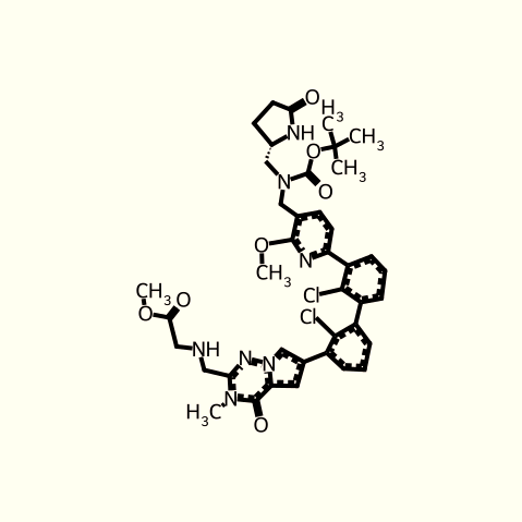 COC(=O)CNCc1nn2cc(-c3cccc(-c4cccc(-c5ccc(CN(C[C@@H]6CCC(=O)N6)C(=O)OC(C)(C)C)c(OC)n5)c4Cl)c3Cl)cc2c(=O)n1C